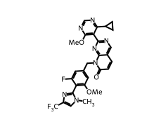 COc1cc(Cn2c(=O)ccc3cnc(-c4c(OC)ncnc4C4CC4)nc32)cc(F)c1-c1nc(C(F)(F)F)cn1C